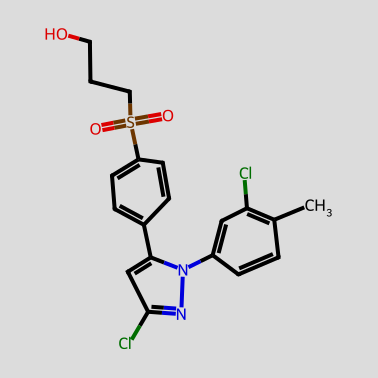 Cc1ccc(-n2nc(Cl)cc2-c2ccc(S(=O)(=O)CCCO)cc2)cc1Cl